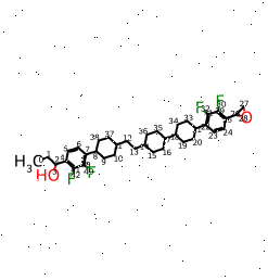 CCC(O)c1ccc(C2CCC(CCC3CCC(C4CCC(c5ccc(C6CO6)c(F)c5F)CC4)CC3)CC2)c(F)c1F